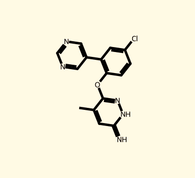 Cc1cc(=N)[nH]nc1Oc1ccc(Cl)cc1-c1cncnc1